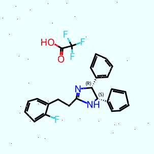 Fc1ccccc1CCC1=N[C@H](c2ccccc2)[C@H](c2ccccc2)N1.O=C(O)C(F)(F)F